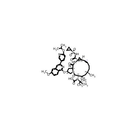 COc1ccc2c(O[C@@H]3C[C@H]4C(=O)N[C@]5(C(=O)NS(=O)(=O)C6CC6)C[C@H]5/C=C\CC[C@@H](C)C[C@@H](C)[C@H](N(C(=O)O)C(C)(C)C)C(=O)N4C3)nc(-c3ccc(OC(C)C)nc3)cc2c1